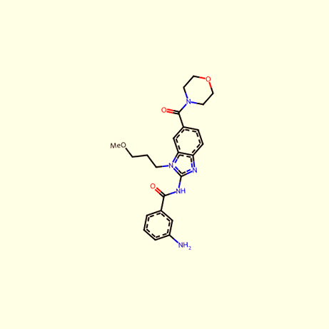 COCCCn1c(NC(=O)c2cccc(N)c2)nc2ccc(C(=O)N3CCOCC3)cc21